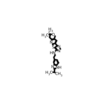 CC(C)c1nc2cc(CCNc3ncnc4c3sc3nc5c(cc34)COC(C)(C)C5)ccc2[nH]1